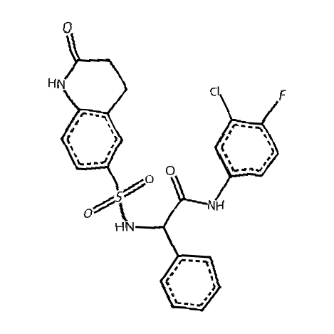 O=C1CCc2cc(S(=O)(=O)NC(C(=O)Nc3ccc(F)c(Cl)c3)c3ccccc3)ccc2N1